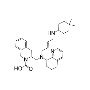 CC1(C)CCC(NC/C=C/CN(CC2Cc3ccccc3CN2C(=O)O)C2CCCc3cccnc32)CC1